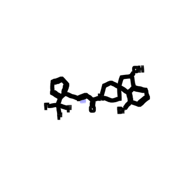 O=C(/C=C/c1ccccc1C(F)(F)F)N1CCC2(CC1)CC(O)c1cccc(Br)c12